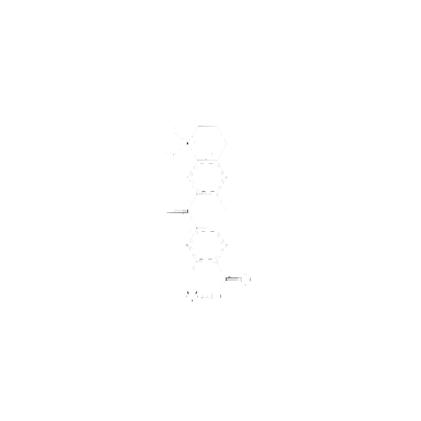 C=C(c1ccc(C(=O)OC)cc1)c1cc2c(cc1C)CCCC2(C)C